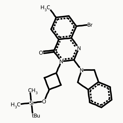 Cc1cc(Br)c2nc(N3Cc4ccccc4C3)n(C3CC(O[Si](C)(C)C(C)(C)C)C3)c(=O)c2c1